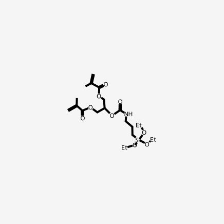 C=C(C)C(=O)OCC(COC(=O)C(=C)C)OC(=O)NCCC[Si](OCC)(OCC)OCC